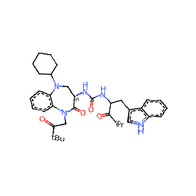 CC(C)C(=O)C(Cc1c[nH]c2ccccc12)NC(=O)N[C@@H]1CN(C2CCCCC2)c2ccccc2N(CC(=O)C(C)(C)C)C1=O